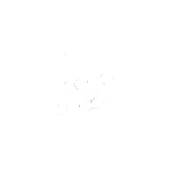 Cc1cccc(P(c2ccccc2)c2ccccc2)c1-c1c(C)cccc1P(c1ccccc1)c1ccccc1.F[B-](F)(F)F.[Rh+]